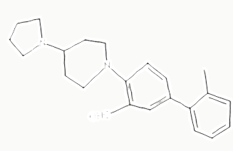 Cc1ccccc1-c1ccc(N2CCC(N3CCCC3)CC2)c(C=O)c1